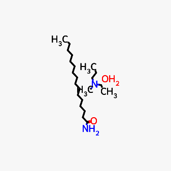 CCCCCCCCCCCCCCCC(N)=O.CCCN(C)CC.O